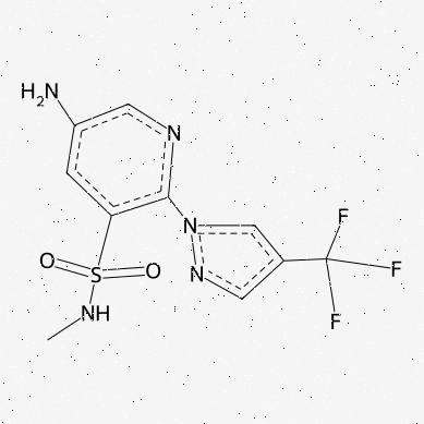 CNS(=O)(=O)c1cc(N)cnc1-n1cc(C(F)(F)F)cn1